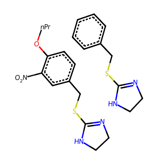 CCCOc1ccc(CSC2=NCCN2)cc1[N+](=O)[O-].c1ccc(CSC2=NCCN2)cc1